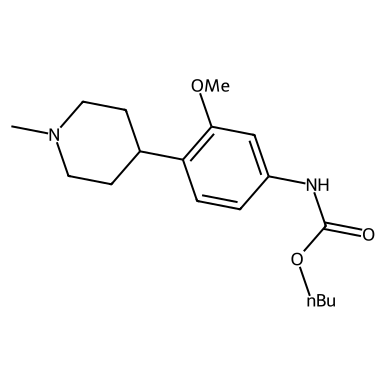 CCCCOC(=O)Nc1ccc(C2CCN(C)CC2)c(OC)c1